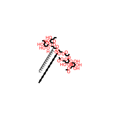 C=C=C=C=C=C=C=C=C=C=C=C=C=C=C(C(=O)OCC(COC(=O)CC(C)O[C@@H]1OC(COC(C)=O)[C@@H](O)[C@H](O)C1O[C@@H]1OC(COC(C)=O)[C@@H](O)[C@H](O)C1O)OC(=O)C#CC#CC#CC#CC#CC#CC#CC#CC)C(C)O[C@@H]1OC(CC)[C@@H](O)[C@H](O)C1O[C@@H]1OC(CC)[C@@H](O)[C@H](O)C1O